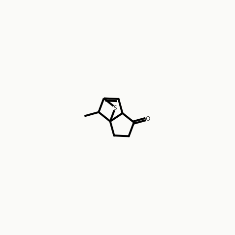 CC1C2=CC3C(=O)CCC13S2